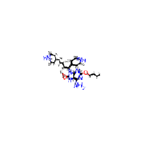 CCCCOc1nc(N)c2nc(OC)n(C(CCCCC3CCNCC3)C3CCNCC3)c2n1